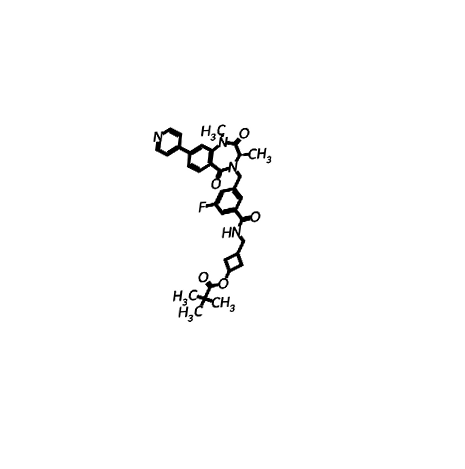 C[C@@H]1C(=O)N(C)c2cc(-c3ccncc3)ccc2C(=O)N1Cc1cc(F)cc(C(=O)NCC2CC(OC(=O)C(C)(C)C)C2)c1